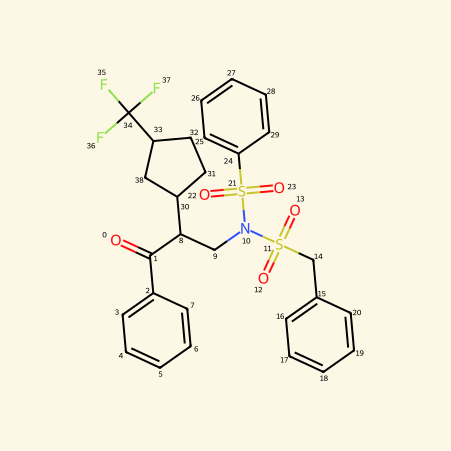 O=C(c1ccccc1)C(CN(S(=O)(=O)Cc1ccccc1)S(=O)(=O)c1ccccc1)C1CCC(C(F)(F)F)C1